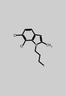 Cc1cc2ccc(Cl)c(Cl)c2n1CCCI